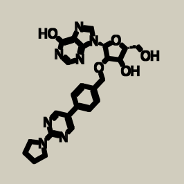 OC[C@H]1O[C@@H](n2cnc3c(O)ncnc32)C(OCc2ccc(-c3cnc(N4CCCC4)nc3)cc2)C1O